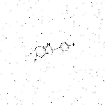 Fc1ccc(-c2cc3n(n2)CCC(F)(F)C3)cc1